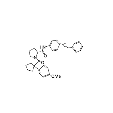 COc1ccc(C2(C(=O)N3CCC[C@@H]3C(=O)Nc3ccc(OCc4ccccc4)cc3)CCCC2)cc1